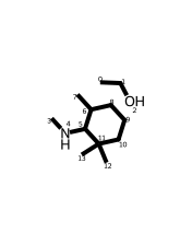 CCO.CNC1C(C)CCCC1(C)C